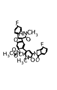 CNC(=O)c1c(-c2ccc(F)cc2)oc2cc(N(C)S(C)(=O)=O)c(-c3cc(N4Cc5c(F)cccc5C4=O)c(=O)n(C)c3)cc12